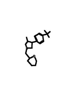 CC1CN(CC2CCCCO2)CC1c1ccc(C(C)(C)C)cc1